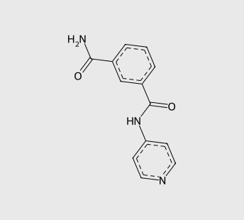 NC(=O)c1cccc(C(=O)Nc2ccncc2)c1